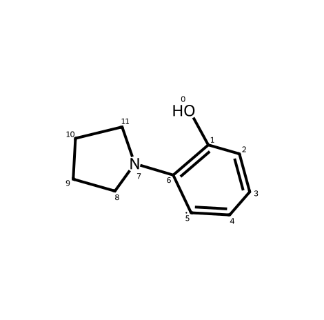 Oc1ccc[c]c1N1CCCC1